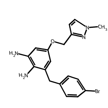 Cn1ccc(COc2cc(N)c(N)c(Cc3ccc(Br)cc3)c2)n1